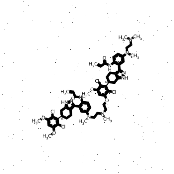 C=CC(=O)Nc1ccc(N(C)CCN(C)CCOc2cc(OC)c(Cl)c([C@H]3CCc4c(-c5cc(N(C)CCN(C)C)ccc5NC(=O)C=C)n[nH]c4C3)c2Cl)cc1-c1n[nH]c2c1CC[C@@H](c1c(Cl)c(OC)cc(OC)c1Cl)C2